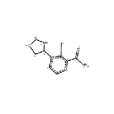 Cc1c(C(N)=O)cccc1C1COCN1